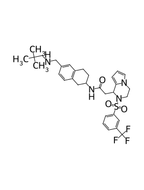 CC(C)(C)CNCc1ccc2c(c1)CCC(NC(=O)CC1c3cccn3CCN1S(=O)(=O)c1cccc(C(F)(F)F)c1)C2